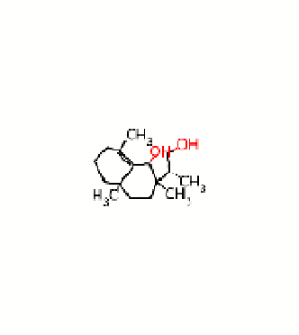 CC1=C2[C@H](O)C(C)([C@@H](C)CO)CC[C@@]2(C)CCC1